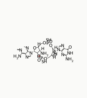 C=N/C(N)=C1/N=CN([C@@H]2O[C@@H]3CO[P@@](=O)(S)O[C@@H]4[C@H](F)[C@@H](CO[P@](=O)(S)O[C@@H]2[C@@H]3N)O[C@H]4n2cnc3c(=O)[nH]c(N)nc32)/C1=N/C